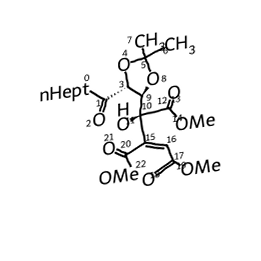 CCCCCCCC(=O)[C@@H]1OC(C)(C)O[C@H]1[C@](O)(C(=O)OC)/C(=C/C(=O)OC)C(=O)OC